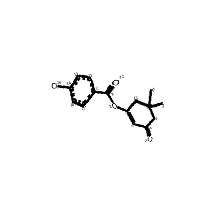 CC1(C)CC(=O)C=C(OC(=O)c2ccc(Cl)cc2)C1